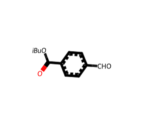 CC(C)COC(=O)c1ccc(C=O)cc1